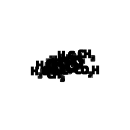 C[C@H]1[C@H](C)CC[C@]2(C(=O)O)CC[C@]3(C(=O)O)C(=CC[C@@H]4[C@@]5(C)CCCC(C)(C)C5CC[C@]43C)[C@H]12